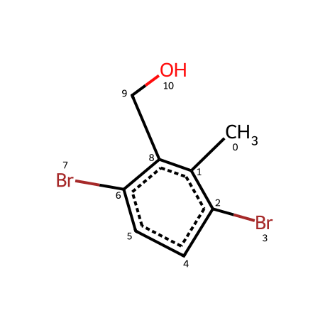 Cc1c(Br)ccc(Br)c1CO